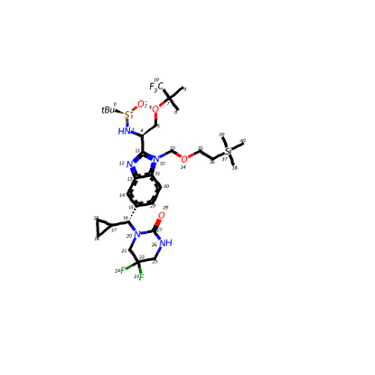 CC(C)(C)[S@@+]([O-])N[C@@H](COC(C)(C)C(F)(F)F)c1nc2cc([C@@H](C3CC3)N3CC(F)(F)CNC3=O)ccc2n1COCC[Si](C)(C)C